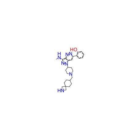 CNc1nn(C2CCN(CC3CCC4(CC3)CNC4)CC2)c2cc(-c3ccccc3O)nnc12